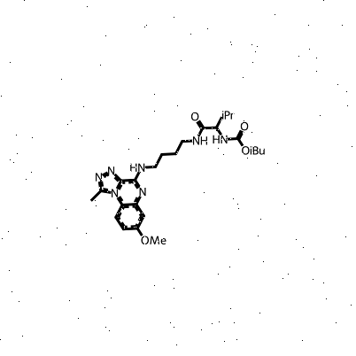 COc1ccc2c(c1)nc(NCCCCNC(=O)C(NC(=O)OCC(C)C)C(C)C)c1nnc(C)n12